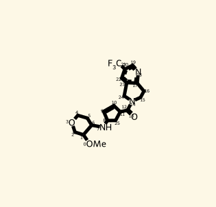 COC1COCCC1NC1C=CC(C(=O)N2CCc3ncc(C(F)(F)F)cc3C2)C1